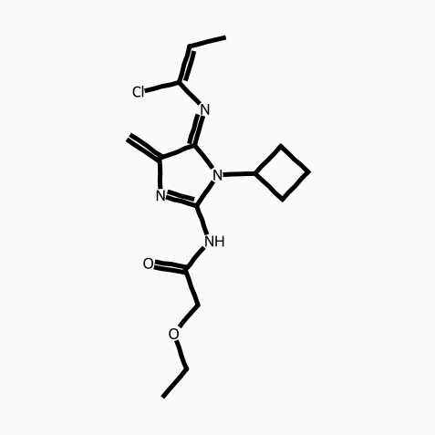 C=C1N=C(NC(=O)COCC)N(C2CCC2)/C1=N/C(Cl)=C\C